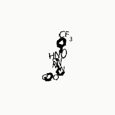 O=C(Nc1nc(-c2cc(OC3CCOCC3)ccn2)ns1)c1ccc(C(F)(F)F)cc1